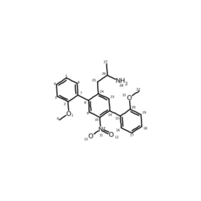 COc1ccccc1-c1cc([N+](=O)[O-])c(-c2ccccc2OC)cc1CC(C)N